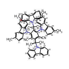 Cc1ccc2c(c1)c1cc(C)ccc1n2-c1c(C#N)c(C(C)(C)n2c3ccccc3c3ccccc32)c(C#N)c(-n2c3ccc(C)cc3c3cc(C)ccc32)c1C(C)(C)n1c2ccccc2c2ccccc21